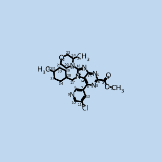 COC(=O)c1nc(-c2cncc(Cl)c2)c2c(n1)nc(N1CCOCC1C)n2CC1CCC(C)CC1